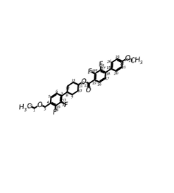 CCOCc1ccc(C2CCC(OC(=O)c3ccc(-c4ccc(OC)cc4)c(F)c3F)CC2)c(F)c1F